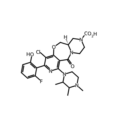 CC1C(C)N(c2nc(-c3c(O)cccc3F)c(Cl)c3c2C(=O)N2CCN(C(=O)O)C[C@@H]2CO3)CCN1C